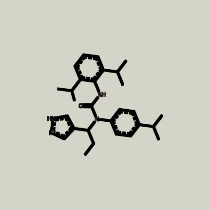 CCC(c1cn[nH]c1)N(C(=O)Nc1c(C(C)C)cccc1C(C)C)c1ccc(C(C)C)cc1